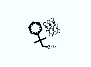 CC(C)([CH2][Zr+3])c1ccccc1.[O]=[Al][O-].[O]=[Al][O-].[O]=[Al][O-]